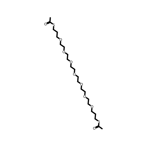 CC(=O)SCCCOCCOCCOCCOCCOCCOCCOCCCSC(C)=O